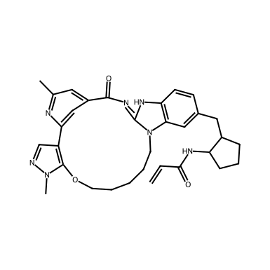 C=CC(=O)NC1CCCC1Cc1ccc2c(c1)N1CCCCCOc3c(cnn3C)-c3cc(cc(C)n3)C(=O)/N=C/1N2